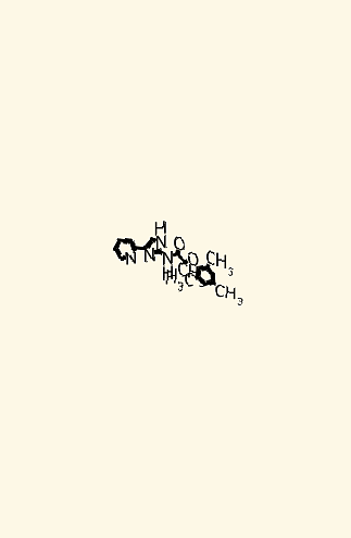 Cc1cc(C)c(O[C@@H](C)C(=O)Nc2nc(-c3ccccn3)c[nH]2)c(C)c1